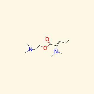 CCC=C(C(=O)OCCN(C)C)N(C)C